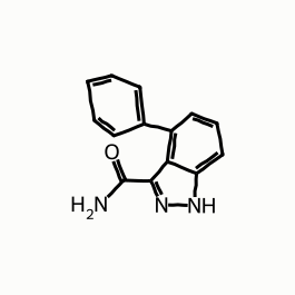 NC(=O)c1n[nH]c2cccc(-c3ccccc3)c12